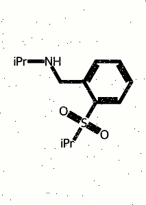 CC(C)NCc1ccccc1S(=O)(=O)C(C)C